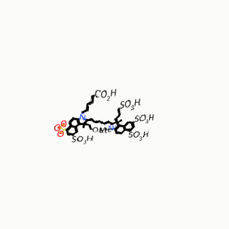 CC[N+]1=C(/C=C/C=C/C=C2/N(CCCCCC(=O)O)c3ccc4c(S(=O)(=O)[O-])cc(S(=O)(=O)O)cc4c3C2(C)CCOC)C(C)(CCCS(=O)(=O)O)c2c1ccc1c(S(=O)(=O)O)cc(S(=O)(=O)O)cc21